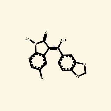 CC(=O)c1ccc2c(c1)/C(=C(/O)c1ccc3c(c1)OCO3)C(=O)N2C(C)=O